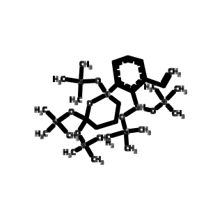 C=Cc1cccc([Si]2(O[Si](C)(C)C)CCCC(O[Si](C)(C)C)(O[Si](C)(C)C)O2)c1[SiH](O[Si](C)(C)C)O[Si](C)(C)C